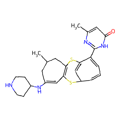 Cc1cc(=O)[nH]c(C2=CC=CC3C=C2SC2=C(C=C(NC4CCNCC4)CC(C)C2)S3)n1